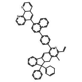 C=Cc1nc(-c2ccc(-c3ccc(C4=CC5C=CC=NC5c5ncccc54)c4ccccc34)cc2)c2c(c1C)CC1C(=C2)c2ccccc2C1(C1=CC=CCC1)c1ccccc1